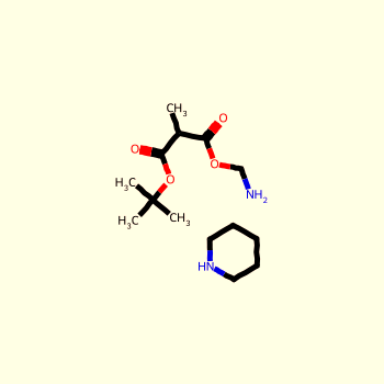 C1CCNCC1.CC(C(=O)OCN)C(=O)OC(C)(C)C